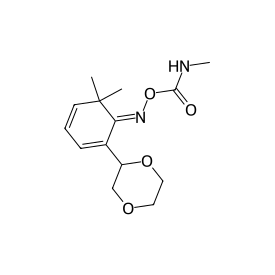 CNC(=O)ON=C1C(C2COCCO2)=CC=CC1(C)C